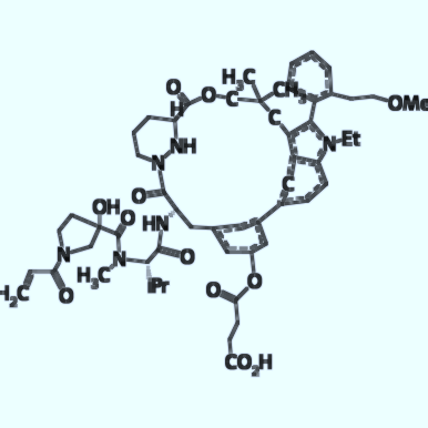 C=CC(=O)N1CCC(O)(C(=O)N(C)[C@H](C(=O)N[C@H]2Cc3cc(OC(=O)CCC(=O)O)cc(c3)-c3ccc4c(c3)c(c(-c3ccccc3CCOC)n4CC)CC(C)(C)COC(=O)[C@@H]3CCCN(N3)C2=O)C(C)C)C1